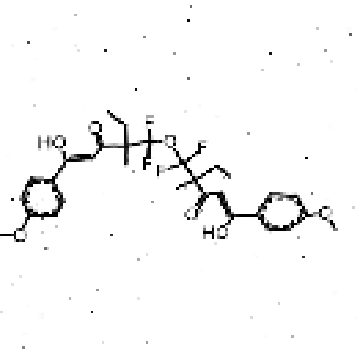 CCC(C)(C(=O)/C=C(\O)c1ccc(OC)cc1)C(F)(F)OC(F)(F)C(C)(CC)C(=O)/C=C(\O)c1ccc(OC)cc1